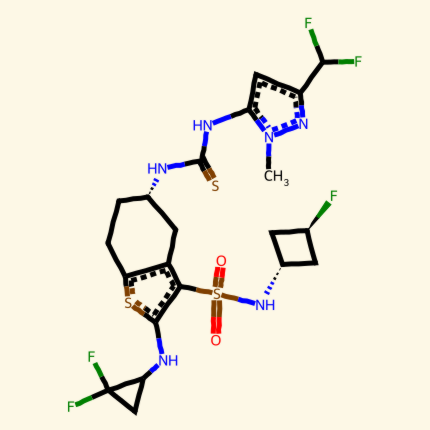 Cn1nc(C(F)F)cc1NC(=S)N[C@H]1CCc2sc(NC3CC3(F)F)c(S(=O)(=O)N[C@H]3C[C@H](F)C3)c2C1